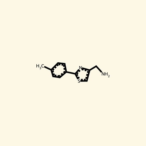 Cc1ccc(-c2nc(CN)cs2)cc1